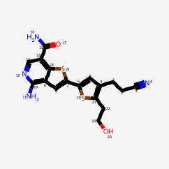 N#CCCc1cc(-c2cc3c(N)ncc(C(N)=O)c3s2)sc1CCO